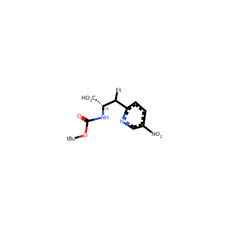 CCC(c1ccc([N+](=O)[O-])cn1)[C@H](NC(=O)OC(C)(C)C)C(=O)O